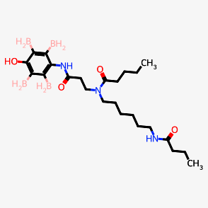 Bc1c(B)c(NC(=O)CCN(CCCCCCNC(=O)CCC)C(=O)CCCC)c(B)c(B)c1O